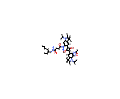 CCCCC(CC)CNC(=O)CCC(=O)Nc1cc2c(c/c1=C1\C(=O)C(c3cc4c(cc3NC(C)=O)N(C(C)C)C(C)C4(C)C)=C1[O-])C(C)(C)C(C)[N+]=2C(C)C